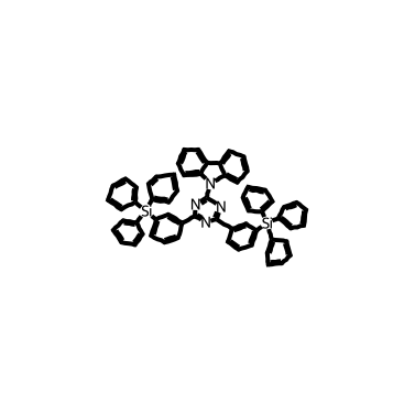 c1ccc([Si](c2ccccc2)(c2ccccc2)c2cccc(-c3nc(-c4cccc([Si](c5ccccc5)(c5ccccc5)c5ccccc5)c4)nc(-n4c5ccccc5c5ccccc54)n3)c2)cc1